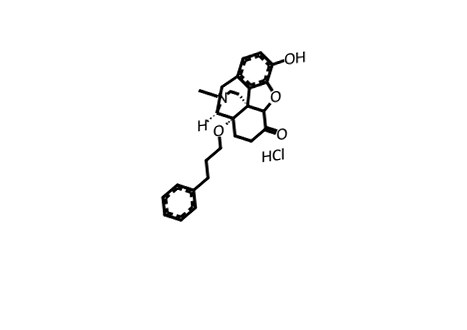 CN1CC[C@]23c4c5ccc(O)c4OC2C(=O)CC[C@@]3(OCCCc2ccccc2)[C@H]1C5.Cl